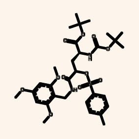 COc1cc(OC)c(CNC(=O)C(C[C@H](NC(=O)OC(C)(C)C)C(=O)OC(C)(C)C)OS(=O)(=O)c2ccc(C)cc2)c(OC)c1